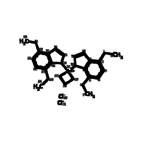 CCc1ccc(CC)c2c1C=C[CH]2[Zr+2]1([CH]2C=Cc3c(CC)ccc(CC)c32)[CH2]C[CH2]1.[Cl-].[Cl-]